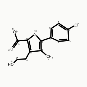 Cc1c(-c2ccc(Cl)cc2)sc(C(=O)O)c1CCO